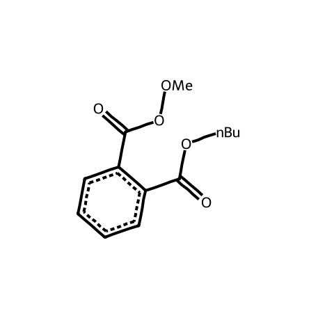 CCCCOC(=O)c1ccccc1C(=O)OOC